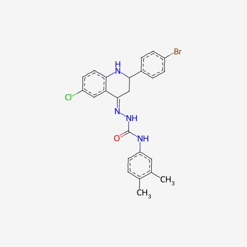 Cc1ccc(NC(=O)NN=C2CC(c3ccc(Br)cc3)Nc3ccc(Cl)cc32)cc1C